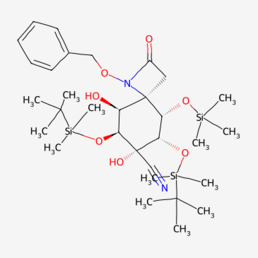 CC(C)(C)[Si](C)(C)O[C@H]1[C@@H](O)[C@]2(CC(=O)N2OCc2ccccc2)[C@H](O[Si](C)(C)C)[C@H](O[Si](C)(C)C(C)(C)C)[C@@]1(O)C#N